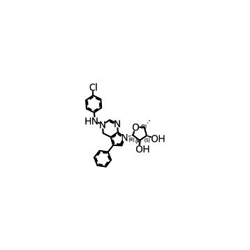 C[C@H]1O[C@@H](n2cc(-c3ccccc3)c3c2N=CN(Nc2ccc(Cl)cc2)C3)[C@H](O)[C@@H]1O